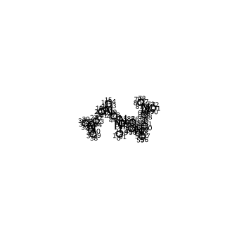 c1ccc(-c2nc(-c3ccc(-n4c5ccccc5c5ccc(-c6ccc7c(c6)c6ccccc6n7-c6ccccc6)cc54)cc3)nc3c2-c2ccc(-n4c5ccccc5c5ccc(-c6ccc7c(c6)c6ccccc6n7-c6ccccc6)cc54)c4cccc-3c24)cc1